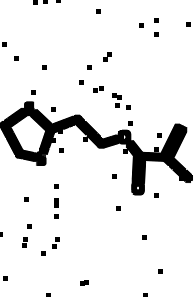 C=C(C)C(=O)OCCC1SCCS1